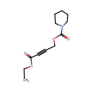 CCOC(=O)C#CCOC(=O)N1CCCCC1